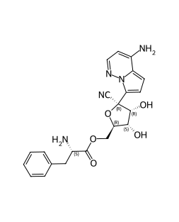 N#C[C@@]1(c2ccc3c(N)ccnn23)O[C@H](COC(=O)[C@@H](N)Cc2ccccc2)[C@@H](O)[C@H]1O